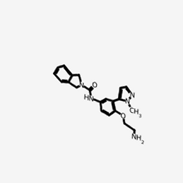 Cn1nccc1-c1cc(NC(=O)N2Cc3ccccc3C2)ccc1OCCN